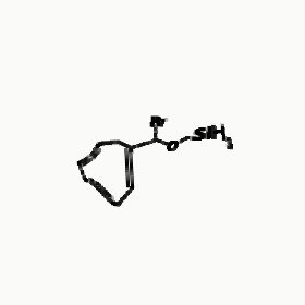 [SiH3]OC(Br)c1ccccc1